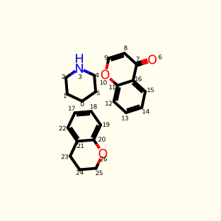 C1CCNCC1.O=c1ccoc2ccccc12.c1ccc2c(c1)CCCO2